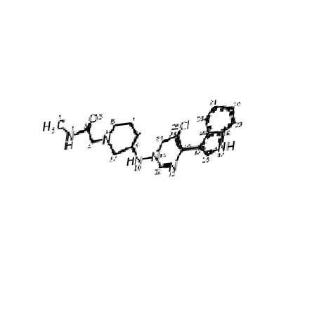 CNC(=O)CN1CCCC(NN2C=NC(c3c[nH]c4ccccc34)=C(Cl)C2)C1